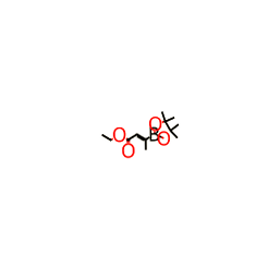 CCOC(=O)/C=C(\C)B1OC(C)(C)C(C)(C)O1